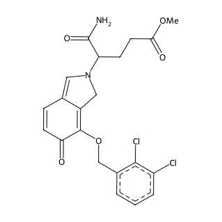 COC(=O)CCC(C(N)=O)N1C=C2C=CC(=O)C(OCc3cccc(Cl)c3Cl)=C2C1